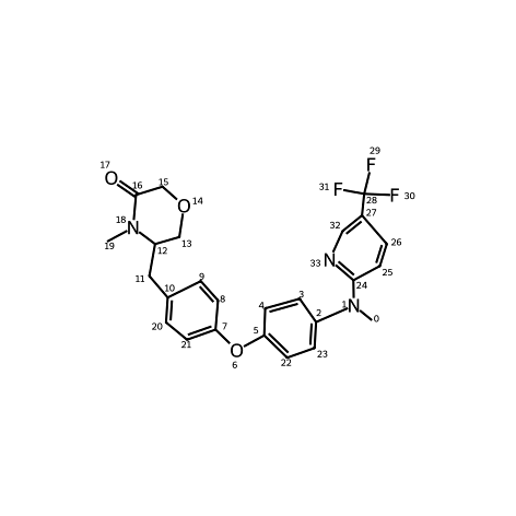 CN(c1ccc(Oc2ccc(CC3COCC(=O)N3C)cc2)cc1)c1ccc(C(F)(F)F)cn1